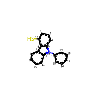 Sc1cccc2c1c1ccccc1n2-c1ccccc1